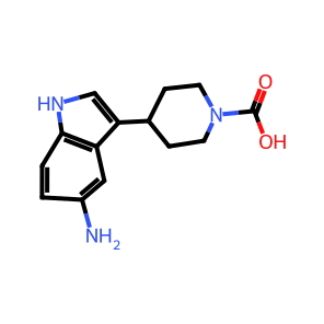 Nc1ccc2[nH]cc(C3CCN(C(=O)O)CC3)c2c1